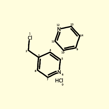 Cl.ClCc1ccncc1.c1ccncc1